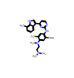 COc1cc(N(C)CCN(C)C)c([N+](=O)[O-])cc1Nc1nccc(-c2c[nH]c3c(C)cccc23)n1